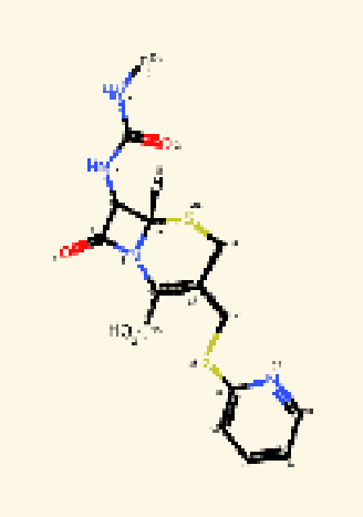 CCCNC(=O)NC1C(=O)N2C(C(=O)O)=C(CSc3ccccn3)CS[C@@H]12